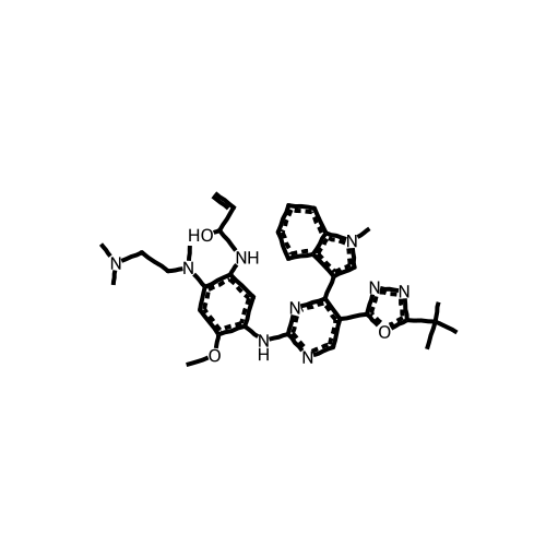 C=CC(O)Nc1cc(Nc2ncc(-c3nnc(C(C)(C)C)o3)c(-c3cn(C)c4ccccc34)n2)c(OC)cc1N(C)CCN(C)C